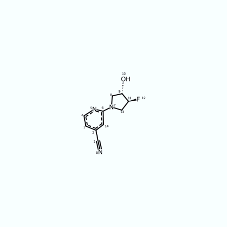 N#Cc1ccnc(N2C[C@H](O)[C@@H](F)C2)c1